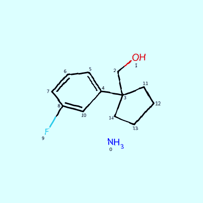 N.OCC1(c2cccc(F)c2)CCCC1